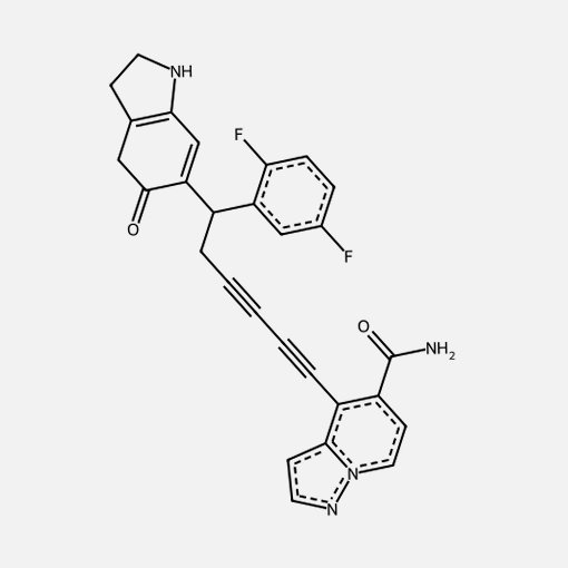 NC(=O)c1ccn2nccc2c1C#CC#CCC(C1=CC2=C(CCN2)CC1=O)c1cc(F)ccc1F